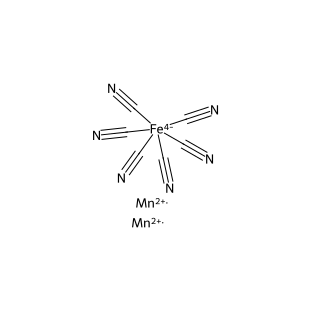 N#[C][Fe-4]([C]#N)([C]#N)([C]#N)([C]#N)[C]#N.[Mn+2].[Mn+2]